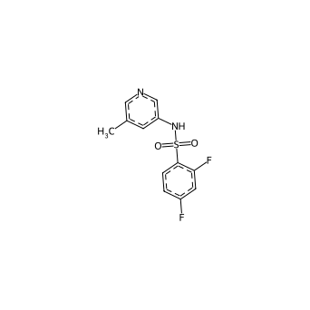 Cc1cncc(NS(=O)(=O)c2ccc(F)cc2F)c1